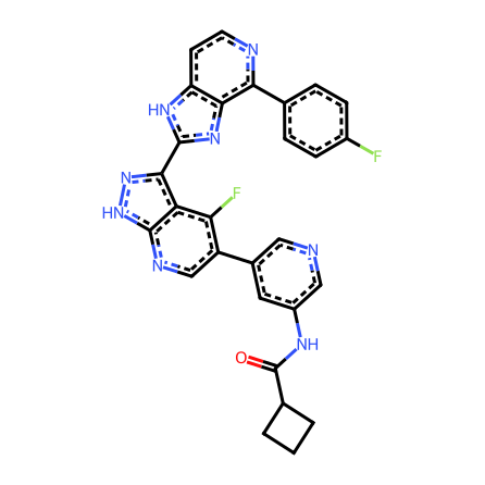 O=C(Nc1cncc(-c2cnc3[nH]nc(-c4nc5c(-c6ccc(F)cc6)nccc5[nH]4)c3c2F)c1)C1CCC1